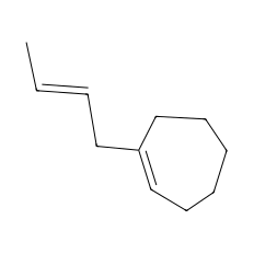 CC=CCC1=CCCCCC1